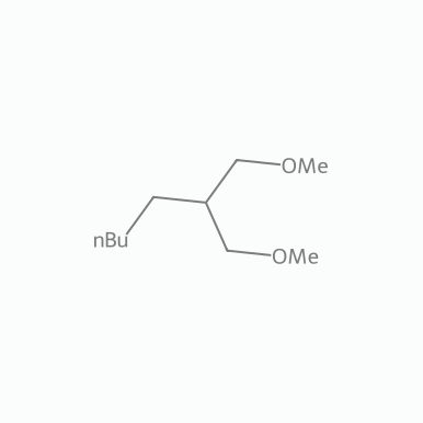 CCCCCC(COC)COC